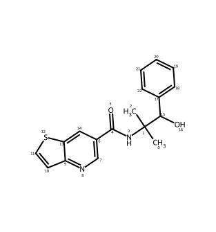 CC(C)(NC(=O)c1cnc2ccsc2c1)C(O)c1ccccc1